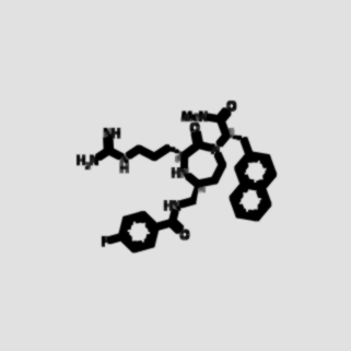 CNC(=O)[C@H](Cc1ccc2ccccc2c1)N1CC[C@@H](CNC(=O)c2ccc(F)cc2)N[C@H](CCCNC(=N)N)C1=O